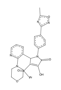 Cc1nc(-c2ccc(N3C(=O)C(O)=C(C(=O)C(C)C)C3c3cccnc3N3CCOCC3)cc2)no1